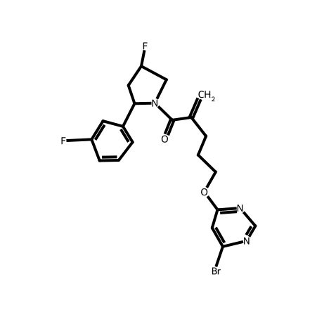 C=C(CCCOc1cc(Br)ncn1)C(=O)N1CC(F)CC1c1cccc(F)c1